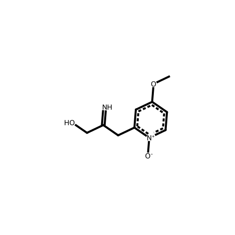 COc1cc[n+]([O-])c(CC(=N)CO)c1